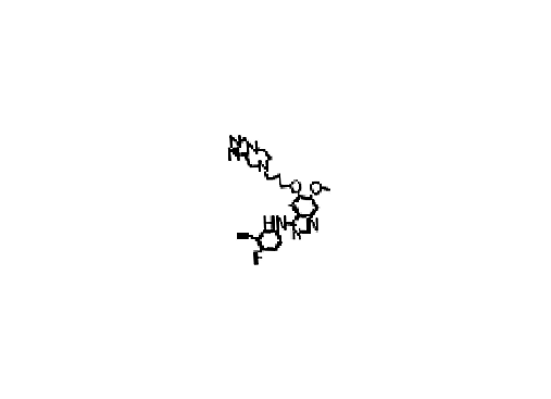 C#Cc1cc(Nc2ncnc3cc(OC)c(OCCCN4CCn5cnnc5C4)cc23)ccc1F